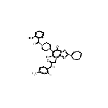 CCc1c(N2CCN(C(=O)c3ncccc3O)CC2)c(=O)n2nc(C3=CCCCCC3)nc2n1CC(=O)Nc1ccc(C(F)(F)F)cc1Cl